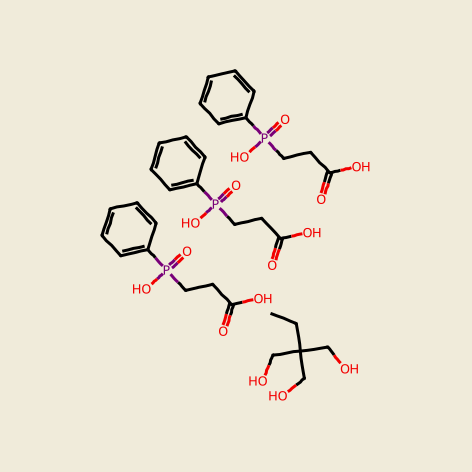 CCC(CO)(CO)CO.O=C(O)CCP(=O)(O)c1ccccc1.O=C(O)CCP(=O)(O)c1ccccc1.O=C(O)CCP(=O)(O)c1ccccc1